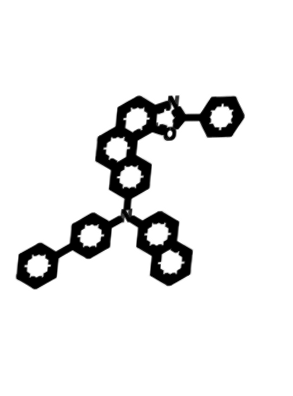 c1ccc(-c2ccc(N(c3ccc4ccccc4c3)c3ccc4c(ccc5ccc6nc(-c7ccccc7)oc6c54)c3)cc2)cc1